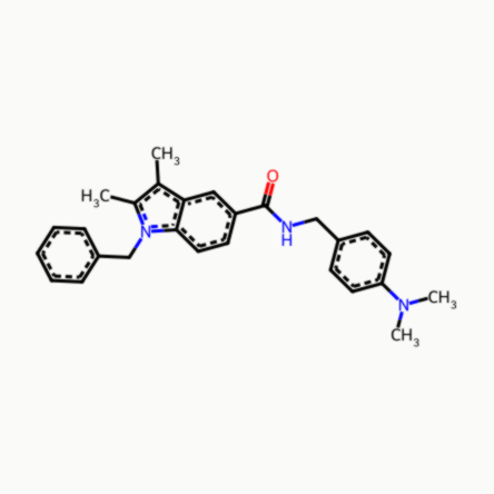 Cc1c(C)n(Cc2ccccc2)c2ccc(C(=O)NCc3ccc(N(C)C)cc3)cc12